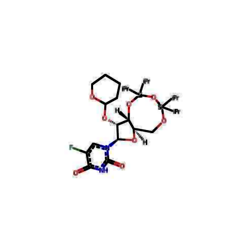 CC(C)[Si]1(C(C)C)OC[C@H]2O[C@@H](n3cc(F)c(=O)[nH]c3=O)[C@H](OC3CCCCO3)[C@@H]2O[Si](C(C)C)(C(C)C)O1